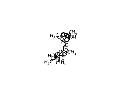 COc1ccc2c3c1O[C@H]1C(OC(=O)CC(OC(C)=O)C(=O)OC(C)C(=O)NC(CC(C)C)C(=O)O)=CC[C@@]4(O)[C@@H](C2)N(C)CC[C@]314